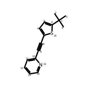 CC(C)(C)c1ccc(C#Cc2ccccn2)s1